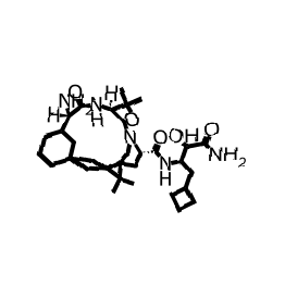 CC(C)(C)[C@@H]1NC(=O)[C@@H](N)C2CCCC3(C2)CC2(C3)C(C)(C)C23C[C@@H](C(=O)NC(CC2CCC2)C(O)C(N)=O)N(C3)C1=O